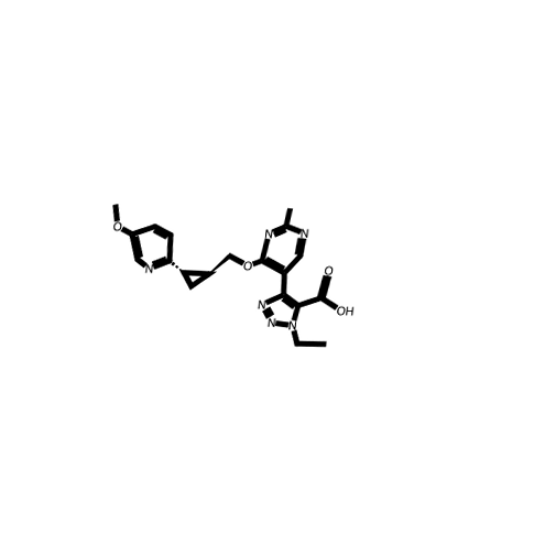 CCn1nnc(-c2cnc(C)nc2OC[C@H]2C[C@@H]2c2ccc(OC)cn2)c1C(=O)O